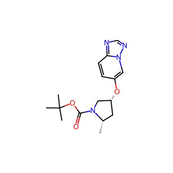 C[C@H]1C[C@@H](Oc2ccc3ncnn3c2)CN1C(=O)OC(C)(C)C